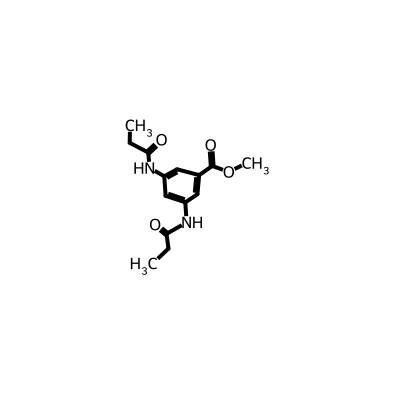 CCC(=O)Nc1cc(NC(=O)CC)cc(C(=O)OC)c1